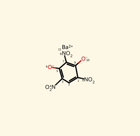 O=[N+]([O-])c1cc([N+](=O)[O-])c([O-])c([N+](=O)[O-])c1[O-].[Ba+2]